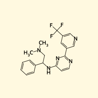 CN(C)CC(Nc1ccnc(-c2cncc(C(F)(F)F)c2)n1)c1ccccc1